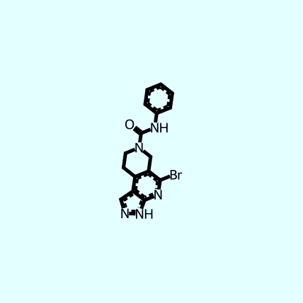 O=C(Nc1ccccc1)N1CCc2c(c(Br)nc3[nH]ncc23)C1